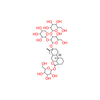 C=C1C[C@@]23CCC4[C@](C)(C(=O)OC5OC(CO)C(O)C(O)C5O)CCC[C@@]4(C)[C@@H]2CCC1(OC1OC(CO)C(O)C(OC2OC(CO)C(O)C(O)C2O)C1OC1OCC(O)C(O)C1O)C3